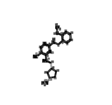 N#Cc1cnc(NCc2ccccc2OC(F)(F)F)nc1NC[C@@H]1CC[C@H](N)C1